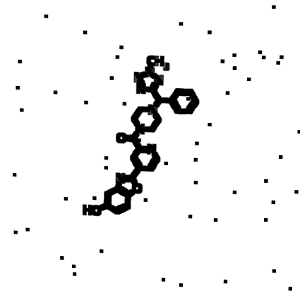 Cn1nnc(C(c2ccccc2)N2CCN(C(=O)c3cc(-c4nc5cc(O)ccc5o4)ccn3)CC2)n1